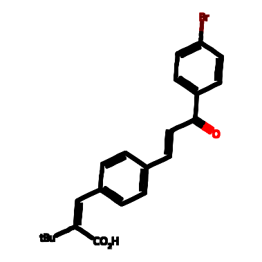 CC(C)(C)/C(=C/c1ccc(/C=C/C(=O)c2ccc(Br)cc2)cc1)C(=O)O